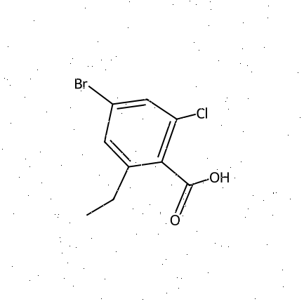 CCc1cc(Br)cc(Cl)c1C(=O)O